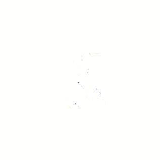 COc1ccc(N(Cc2cccnc2)c2ccc(=O)[nH]c2)cc1OC1CCCC1